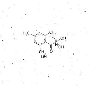 Cc1cc(C)c(C(=O)[PH](O)(O)O)c(C)c1.[LiH]